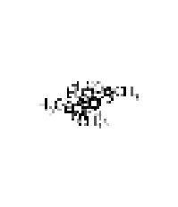 Cc1cc2c(s1)-c1ccc3c4c(sc3c1C(C)(C)O2)-c1sc(C)cc1OC4(C)C